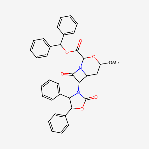 COC1CC2C(N3C(=O)OC(c4ccccc4)C3c3ccccc3)C(=O)N2C(C(=O)OC(c2ccccc2)c2ccccc2)O1